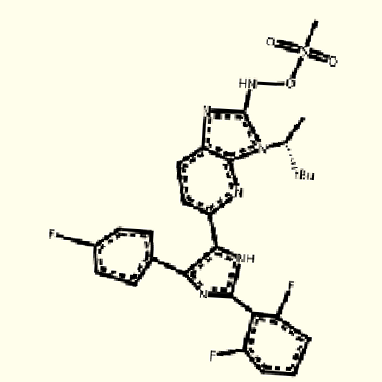 C[C@@H](n1c(NOS(C)(=O)=O)nc2ccc(-c3[nH]c(-c4c(F)cccc4F)nc3-c3ccc(F)cc3)nc21)C(C)(C)C